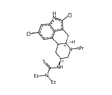 CCCN1C[C@@H](NC(=S)N(CC)CC)CC2c3cc(Cl)cc4[nH]c(Cl)c(c34)C[C@H]21